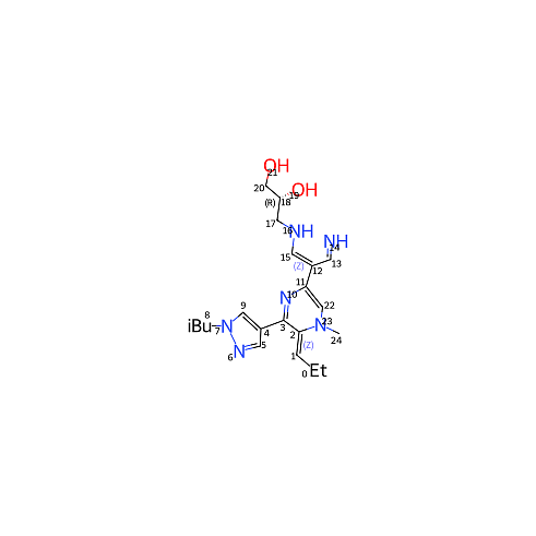 CC/C=C1/C(c2cnn(C(C)CC)c2)=NC(/C(C=N)=C/NC[C@@H](O)CO)=CN1C